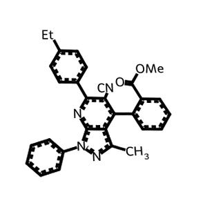 CCc1ccc(-c2nc3c(c(C)nn3-c3ccccc3)c(-c3ccccc3C(=O)OC)c2C#N)cc1